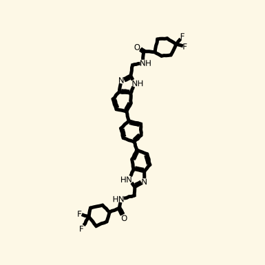 O=C(NCc1nc2ccc(-c3ccc(-c4ccc5nc(CNC(=O)C6CCC(F)(F)CC6)[nH]c5c4)cc3)cc2[nH]1)C1CCC(F)(F)CC1